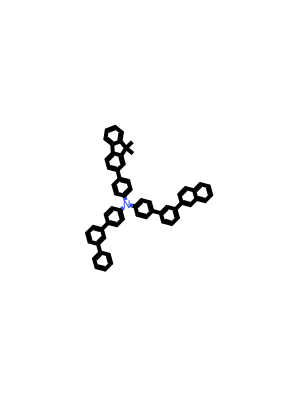 CC1(C)c2ccccc2-c2ccc(-c3ccc(N(c4ccc(-c5cccc(-c6ccccc6)c5)cc4)c4ccc(-c5cccc(-c6ccc7ccccc7c6)c5)cc4)cc3)cc21